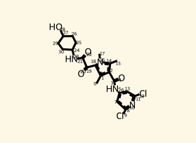 Cc1c(C(=O)Nc2cc(Cl)nc(Cl)c2)c(C)n(C)c1C(=O)C(=O)NC1CCC(O)CC1